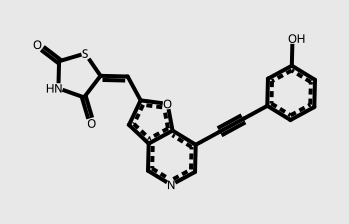 O=C1NC(=O)/C(=C\c2cc3cncc(C#Cc4cccc(O)c4)c3o2)S1